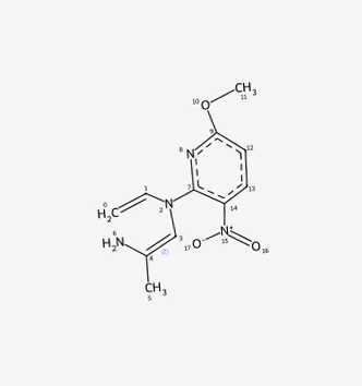 C=CN(/C=C(/C)N)c1nc(OC)ccc1[N+](=O)[O-]